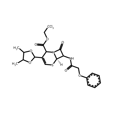 CC1OC(C2=CS[C@@H]3C(NC(=O)COc4ccccc4)C(=O)N3C2C(=O)OCC(Cl)(Cl)Cl)OC1C